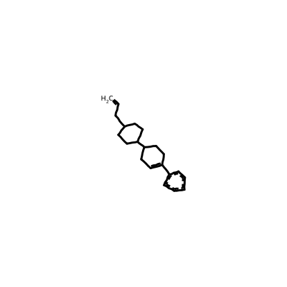 C=CCC1CCC(C2CC=C(c3ccccc3)CC2)CC1